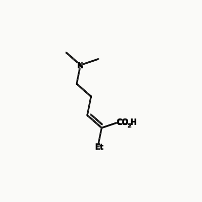 CCC(=CCCN(C)C)C(=O)O